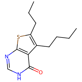 CCCCc1c(CCC)sc2nc[nH]c(=O)c12